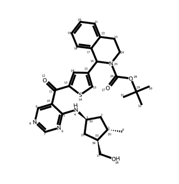 C[C@H]1C[C@H](Nc2ncncc2C(=O)c2cc(C3c4ccccc4CCN3C(=O)OC(C)(C)C)cs2)C[C@@H]1CO